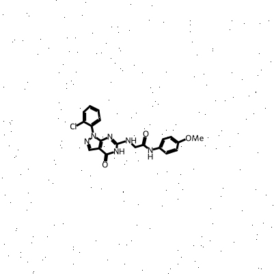 COc1ccc(NC(=O)CNc2nc3c(cnn3-c3ccccc3Cl)c(=O)[nH]2)cc1